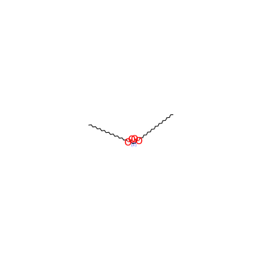 CCCCCCCCCCCCCCCCCCOC(=O)/C=C\C(=O)OCCCCCCCCCCCCCCCCCC